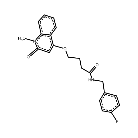 Cn1c(=O)cc(OCCCC(=O)NCc2ccc(F)cc2)c2ccccc21